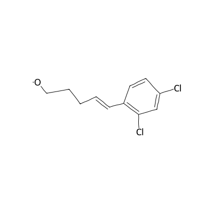 [O]CCCC=Cc1ccc(Cl)cc1Cl